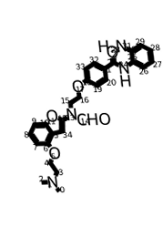 CN(C)CCOc1cccc2oc(N(C=O)CCOc3ccc(C(=O)Nc4ccccc4N)cc3)cc12